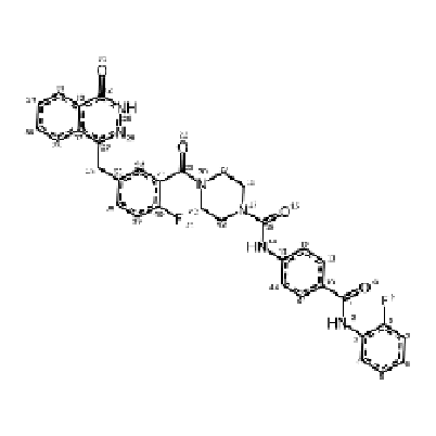 O=C(Nc1ccccc1F)c1ccc(NC(=O)N2CCN(C(=O)c3cc(Cc4n[nH]c(=O)c5ccccc45)ccc3F)CC2)cc1